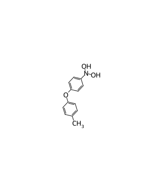 Cc1ccc(Oc2ccc(N(O)O)cc2)cc1